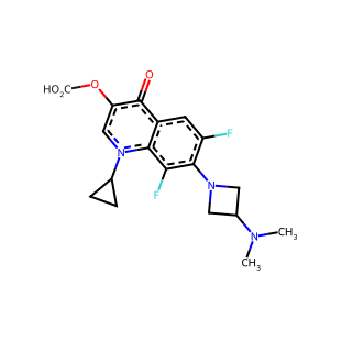 CN(C)C1CN(c2c(F)cc3c(=O)c(OC(=O)O)cn(C4CC4)c3c2F)C1